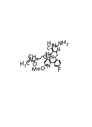 COc1cccc(-c2cc(F)ccc2C2Cc3nc(N)nc(C)c3/C(=N/OCCCC(=O)N(C)C)N2)n1